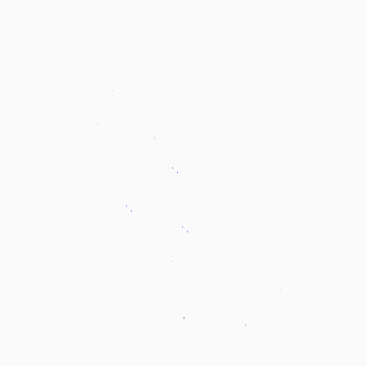 CCOC(=O)c1cnc(NC2(c3ccc(F)cc3Cl)CCC2)nc1